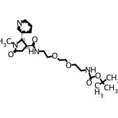 CN1C(=O)C[C@H](C(=O)NCCOCCOCCNC(=O)OC(C)(C)C)[C@H]1c1cccnc1